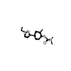 CCn1ccc(-c2ccc(SC(=O)N(C)C)c(C)c2)n1